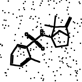 C=C1C2CCC(NS(=O)(=O)c3ccccc3C)(C2)C1(C)C